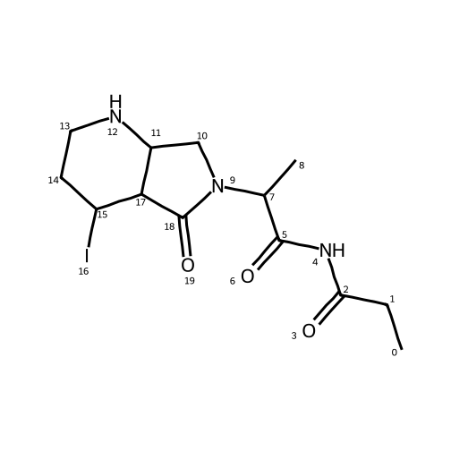 CCC(=O)NC(=O)C(C)N1CC2NCCC(I)C2C1=O